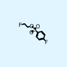 O=S(=O)(OCCF)c1ccc(F)cc1